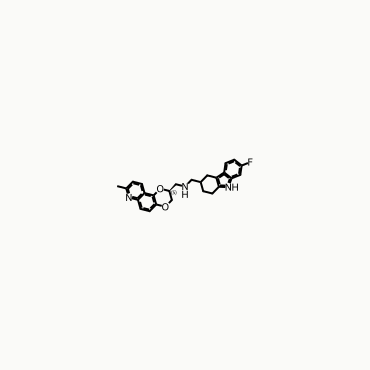 Cc1ccc2c3c(ccc2n1)OC[C@H](CNCC1CCc2[nH]c4cc(F)ccc4c2C1)O3